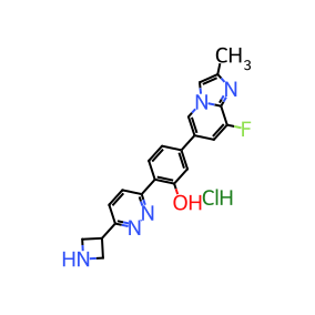 Cc1cn2cc(-c3ccc(-c4ccc(C5CNC5)nn4)c(O)c3)cc(F)c2n1.Cl